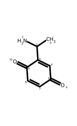 CC(N)C1=CC(=O)C=CC1=O